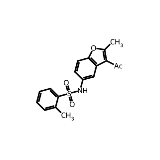 CC(=O)c1c(C)oc2ccc(NS(=O)(=O)c3ccccc3C)cc12